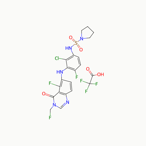 O=C(O)C(F)(F)F.O=c1c2c(F)c(Nc3c(F)ccc(NS(=O)(=O)N4CCCC4)c3Cl)ccc2ncn1CF